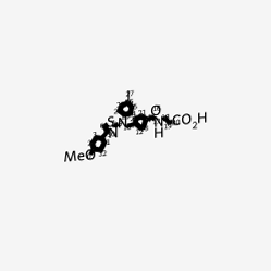 COc1ccc(-c2csc(N(Cc3ccc(C(=O)NCCC(=O)O)cc3)c3ccc(I)cc3)n2)cc1